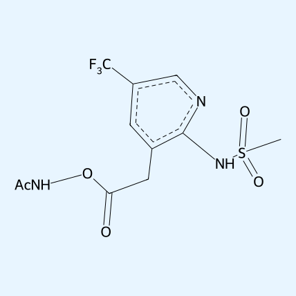 CC(=O)NOC(=O)Cc1cc(C(F)(F)F)cnc1NS(C)(=O)=O